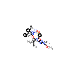 COCCN(C)c1cnc(CN2C(=O)c3cccc(c3)S(=O)(=O)Nc3nc(c(C)c(-c4c(C)cccc4CC4CCCCC4)n3)OC[C@H]2CC(C)(C)C)cn1